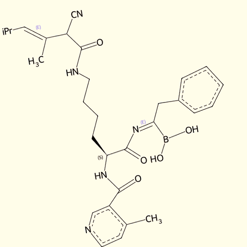 C/C(=C\C(C)C)C(C#N)C(=O)NCCCC[C@H](NC(=O)c1cnccc1C)C(=O)/N=C(/Cc1ccccc1)B(O)O